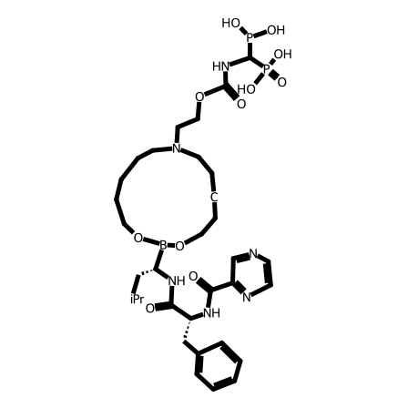 CC(C)C[C@@H](NC(=O)[C@@H](Cc1ccccc1)NC(=O)c1cnccn1)B1OCCCCCN(CCOC(=O)NC(P(O)O)P(=O)(O)O)CCCCCO1